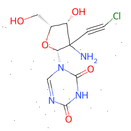 NC1(C#CCl)[C@@H](O)[C@@H](CO)O[C@H]1n1cnc(=O)[nH]c1=O